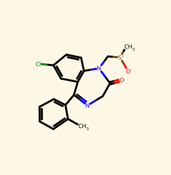 Cc1ccccc1C1=NCC(=O)N(C[S+](C)[O-])c2ccc(Cl)cc21